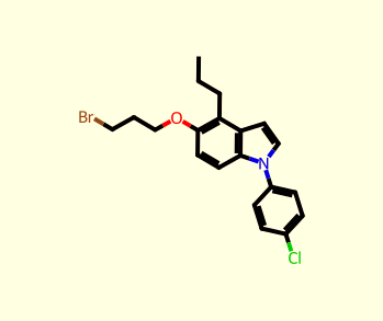 CCCc1c(OCCCBr)ccc2c1ccn2-c1ccc(Cl)cc1